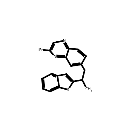 CC(C)c1cnc2ccc(CC(C)c3cc4ccccc4s3)cc2n1